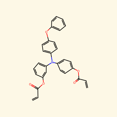 C=CC(=O)Oc1ccc(N(c2ccc(Oc3ccccc3)cc2)c2cccc(OC(=O)C=C)c2)cc1